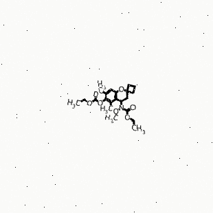 CCOC(=O)Oc1c(C)cc2c(c1C)C(N(OC)C(=O)OCC)CC1(CCC1)O2